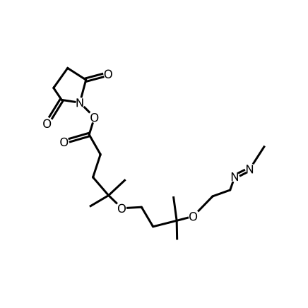 C/N=N/CCOC(C)(C)CCOC(C)(C)CCC(=O)ON1C(=O)CCC1=O